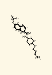 NCCCOC1CCC(NC(=O)c2cnc3cc(OC(F)F)ccc3c2)CC1